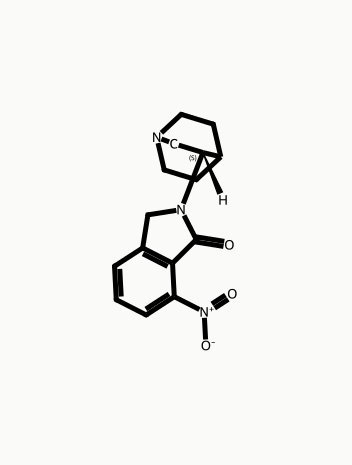 O=C1c2c(cccc2[N+](=O)[O-])CN1[C@@H]1CN2CCC1CC2